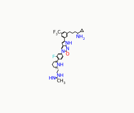 CC(=N)NCC[C@@H]1CCC[C@@H](c2ccc(-n3cc4cc(-c5cc(CCCC(N)C6CC6)cc(C(F)(F)F)c5)[nH]c4nc3=O)cc2F)N1